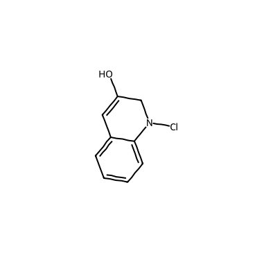 OC1=Cc2ccccc2N(Cl)C1